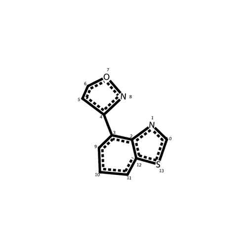 [c]1nc2c(-c3ccon3)cccc2s1